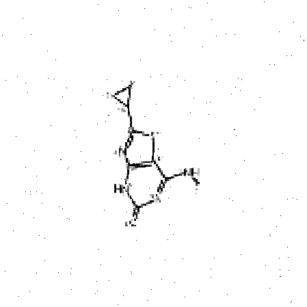 CNc1nc(=O)[nH]c2nc(C3CC3)sc12